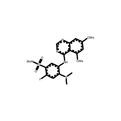 CNS(=O)(=O)c1cc(Nc2ncnc3cc(OC)cc(OC)c23)c(N(C)C)cc1F